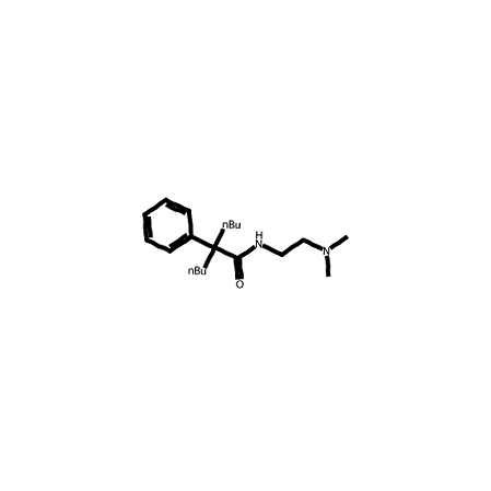 CCCCC(CCCC)(C(=O)NCCN(C)C)c1ccccc1